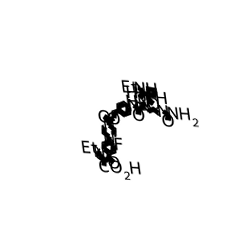 CCNC(=O)C1(C(=O)N[C@@H](CCCNC(N)=O)C(=O)Nc2ccc(COC(=O)N3CCN(c4cc5c(cc4F)c(=O)c(C(=O)O)cn5CC)CC3)cc2)CCC1